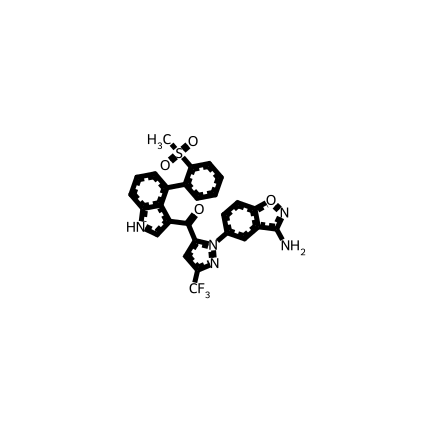 CS(=O)(=O)c1ccccc1-c1cccc2[nH]cc(C(=O)c3cc(C(F)(F)F)nn3-c3ccc4onc(N)c4c3)c12